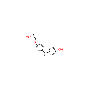 CC(O)COc1ccc(C(C)c2ccc(O)cc2)cc1